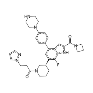 O=C(CCn1cccn1)N1CCC[C@H](c2cc(-c3ccc(N4CCNCC4)cc3)c3cc(C(=O)N4CCC4)[nH]c3c2F)C1